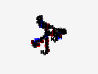 CNc1cc(OCc2cc(COc3cc4c(cc3OC)CN3c5ccccc5CC3C=N4)cc(N(CCCC(=O)NCCN3C(=O)C=CC3=O)CCOCCOCCOC)c2)c(OC)cc1C(=O)N1CCc2ccccc21